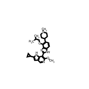 COc1ncc2cc(C3CC3)[nH]c2c1-c1nc2c(OCC(C)C)c(C3CCN(C)CC3)ccc2[nH]1